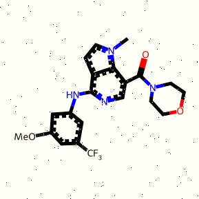 COc1cc(Nc2ncc(C(=O)N3CCOCC3)c3c2ccn3C)cc(C(F)(F)F)c1